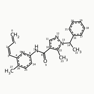 C=C/C=C\c1nc(NC(=O)c2cnn(C(C)c3ccccc3)c2C)ccc1C